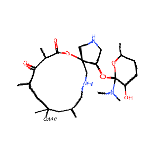 COC1(C)CC(C)CNCC2(CNCC2OC2(N(C)C)OC(C)CCC2O)OC(=O)C(C)C(=O)C(C)C1